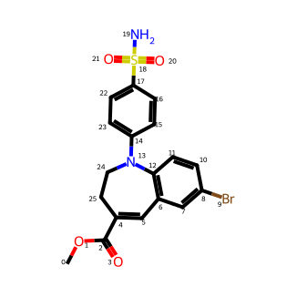 COC(=O)C1=Cc2cc(Br)ccc2N(c2ccc(S(N)(=O)=O)cc2)CC1